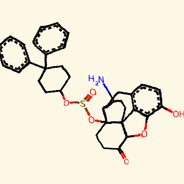 NC1CCC23c4c5ccc(O)c4OC2C(=O)CCC3(OS(=O)OC2CCC(c3ccccc3)(c3ccccc3)CC2)C1C5